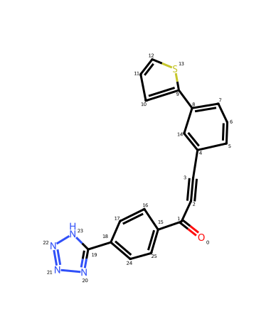 O=C(C#Cc1cccc(-c2cccs2)c1)c1ccc(-c2nnn[nH]2)cc1